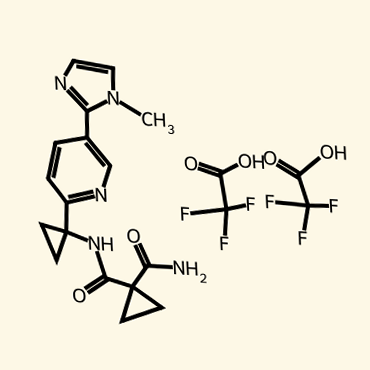 Cn1ccnc1-c1ccc(C2(NC(=O)C3(C(N)=O)CC3)CC2)nc1.O=C(O)C(F)(F)F.O=C(O)C(F)(F)F